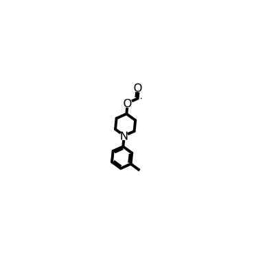 Cc1cccc(N2CCC(O[C]=O)CC2)c1